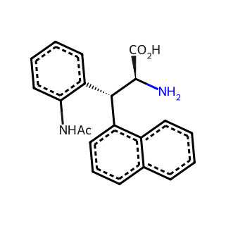 CC(=O)Nc1ccccc1[C@@H](c1cccc2ccccc12)[C@H](N)C(=O)O